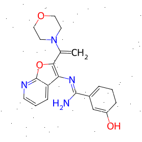 C=C(c1oc2ncccc2c1/N=C(\N)C1=CCCC(O)=C1)N1CCOCC1